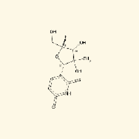 CC1(O)[C@@H](O)[C@@](F)(CO)O[C@H]1n1ccc(=O)[nH]c1=S